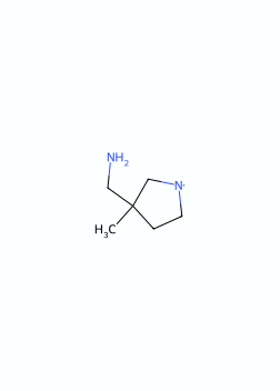 CC1(CN)CC[N]C1